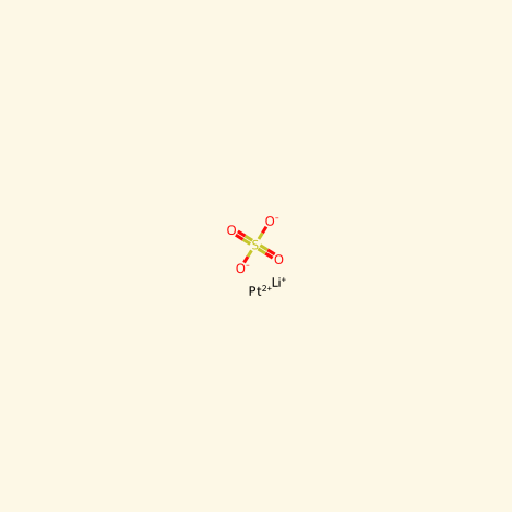 O=S(=O)([O-])[O-].[Li+].[Pt+2]